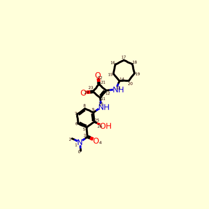 CN(C)C(=O)c1cccc(Nc2c(NC3CCCCCC3)c(=O)c2=O)c1O